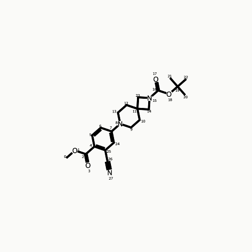 COC(=O)c1ccc(N2CCC3(CC2)CN(C(=O)OC(C)(C)C)C3)cc1C#N